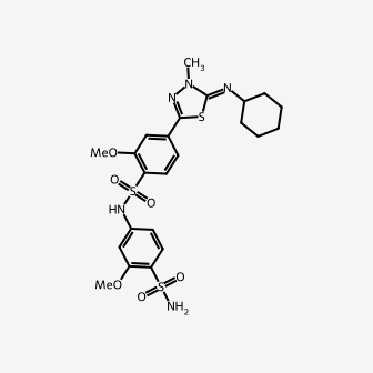 COc1cc(NS(=O)(=O)c2ccc(-c3nn(C)c(=NC4CCCCC4)s3)cc2OC)ccc1S(N)(=O)=O